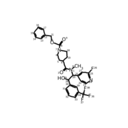 CN(C(=O)C1CCN(C(=O)OCc2ccccc2)CC1)C(c1ccnc(F)c1)C(O)c1cccc(C(F)(F)F)c1